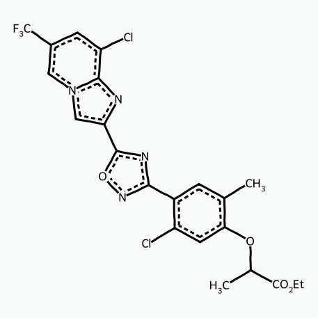 CCOC(=O)C(C)Oc1cc(Cl)c(-c2noc(-c3cn4cc(C(F)(F)F)cc(Cl)c4n3)n2)cc1C